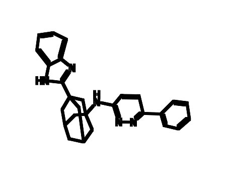 c1ccc(-c2ccc(NC34CC5CC(C3)CC(c3nc6ccccc6[nH]3)(C5)C4)nn2)cc1